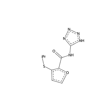 CC(C)Sc1ccoc1C(=O)Nc1nnn[nH]1